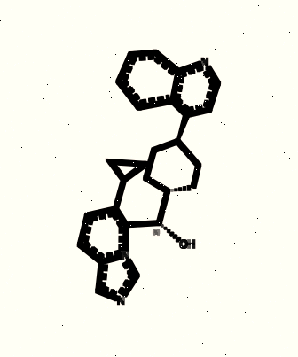 O[C@H](c1c(C2CC2)ccc2cncn12)[C@H]1CC[C@H](c2ccnc3ccccc32)CC1